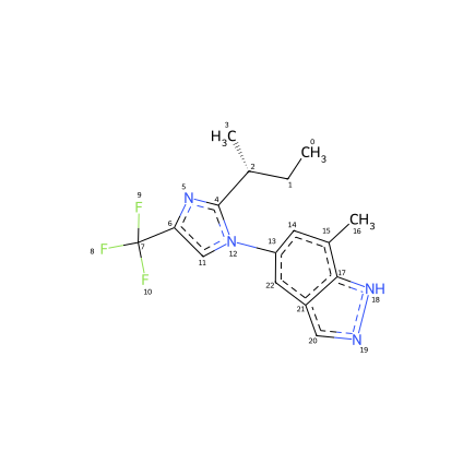 CC[C@@H](C)c1nc(C(F)(F)F)cn1-c1cc(C)c2[nH]ncc2c1